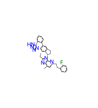 CCc1nc2c(C)cc(CCc3ccccc3F)nc2n1[C@H]1CCc2cc(-c3ccccc3-c3nnn[nH]3)ccc21